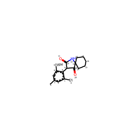 CCc1cc(C)cc(OC)c1C1C(=O)NC2(CCCCC2)C1=O